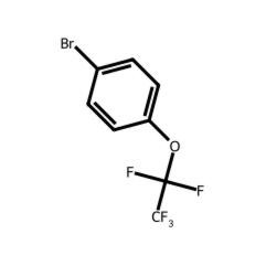 FC(F)(F)C(F)(F)Oc1ccc(Br)cc1